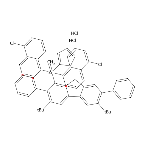 Cl.Cl.[CH2]=[Zr]([C]1=CC=CC1)([c]1c2c(cc(C(C)(C)C)c1-c1ccccc1)-c1cc(C(C)(C)C)c(-c3ccccc3)cc1C2)([c]1cccc2c(Cl)cccc12)[c]1cccc2c(Cl)cccc12